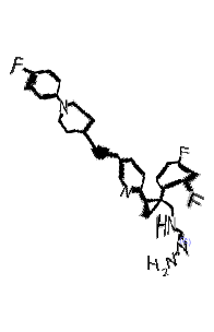 N/N=C\NCC1(c2ccc(F)cc2F)CC1c1ccc(C#CC2CCN(c3ccc(F)cc3)CC2)cn1